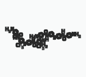 Nc1ccc(C(=O)Nc2ccc(Sc3cccc(NC(=O)c4ccc(N)c(-c5cc(C(=O)Nc6ccc(Sc7ccc(NC(=O)c8ccc(N)cc8C(F)(F)F)cc7C(F)(F)F)cc6)c(C(F)(F)F)cc5N)c4)c3)cc2)cc1